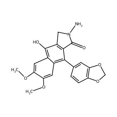 COc1cc2c(O)c3c(c(-c4ccc5c(c4)OCO5)c2cc1OC)C(=O)N(N)C3